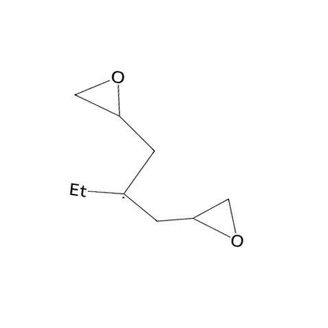 [CH2]C[C](CC1CO1)CC1CO1